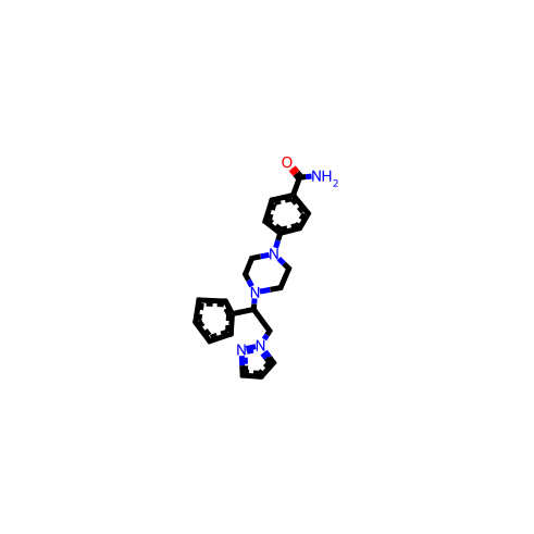 NC(=O)c1ccc(N2CCN(C(Cn3cccn3)c3ccccc3)CC2)cc1